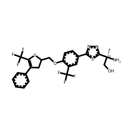 C[C@](N)(CO)c1nnc(-c2ccc(OCC3CC(c4ccccc4)=C(C(F)(F)F)S3)c(C(F)(F)F)c2)s1